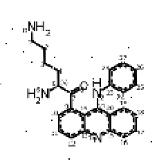 NCCCC[C@H](N)C(=O)c1cccc2nc3ccccc3c(Nc3ccccc3)c12